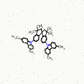 Cc1ccc2c(c1)c1cc(C)ccc1n2-c1ccc2c(c1)C(C)(C)CC21CC(C)(C)c2cc(-n3c4ccc(C)cc4c4cc(C)ccc43)ccc21